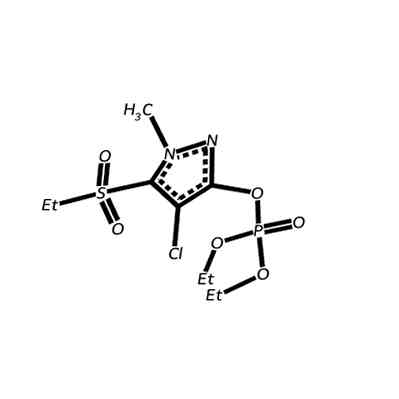 CCOP(=O)(OCC)Oc1nn(C)c(S(=O)(=O)CC)c1Cl